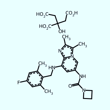 Cc1cc(F)cc(C)c1CNc1cc(NC(=O)N2CCC2)cn2c(C)c(C)nc12.O=C(O)CC(O)(CC(=O)O)C(=O)O